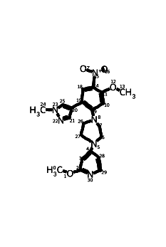 COc1cc(N2CCN(c3cc(OC)c([N+](=O)[O-])cc3-c3cnn(C)c3)CC2)ccn1